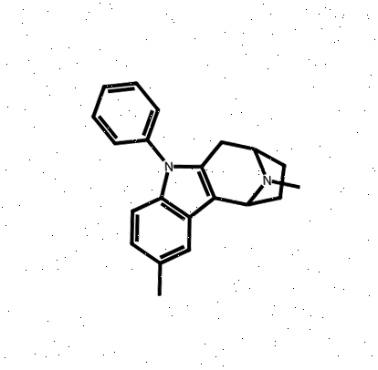 Cc1ccc2c(c1)c1c(n2-c2ccccc2)CC2CCC1N2C